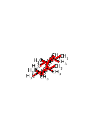 CCCCCCC(CCCC)Cc1cc(C)sc1-c1nc2sc(-c3sc(-c4cc(CC(CCCC)CCCCCC)c(-c5nc6sc(-c7sc(C)cc7CC(CCCC)CCCCCC)nc6s5)s4)cc3CC(CCCC)CCCCCC)nc2s1